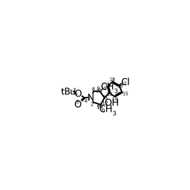 C[C@@H]1CN(C(=O)OC(C)(C)C)C[C@H](C)C1(O)c1ccc(Cl)cc1